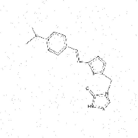 CN(C)c1ccc(C=Cc2ccc(Cn3cn[nH]c3=O)s2)cc1